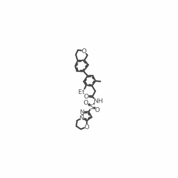 CCc1cc(-c2ccc3c(c2)COCC3)cc(C)c1CC(=O)NS(=O)(=O)c1cc2n(n1)CCCO2